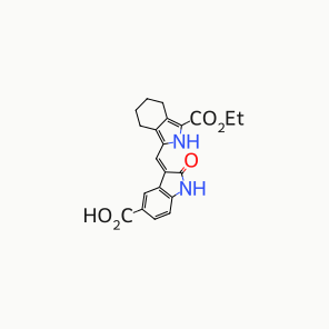 CCOC(=O)c1[nH]c(C=C2C(=O)Nc3ccc(C(=O)O)cc32)c2c1CCCC2